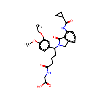 CCOc1cc(C(CCCC(=O)NCC(=O)O)N2Cc3cccc(NC(=O)C4CC4)c3C2=O)ccc1OC